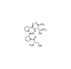 CC(=O)[C@@H](NC(=O)[C@@H]1CCCN1C(=O)[C@@H]1CCCN1C(=O)[C@@H](N)CO)[C@@H](C)O